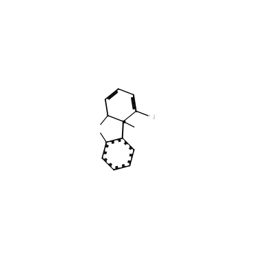 CC12C(N)=CC=CC1Sc1ccccc12